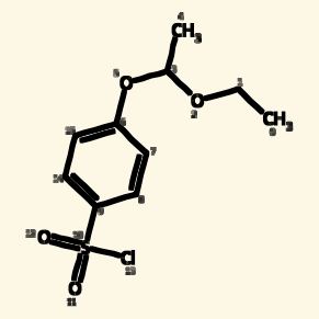 CCOC(C)Oc1ccc(S(=O)(=O)Cl)cc1